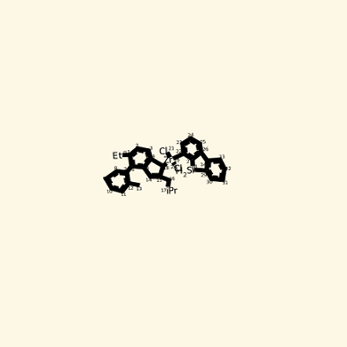 CCc1ccc2c(c1-c1ccccc1C)C=C(CC(C)C)[CH]2[Zr]([Cl])([Cl])[c]1cccc2c1[SiH2]c1ccccc1-2